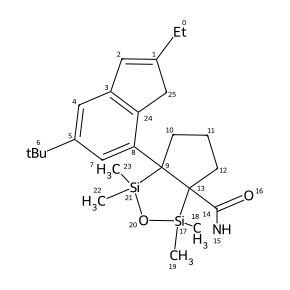 CCC1=Cc2cc(C(C)(C)C)cc(C34CCCC3(C([NH])=O)[Si](C)(C)O[Si]4(C)C)c2C1